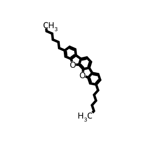 CCCCCCc1ccc2c(c1)oc1c2ccc2c3ccc(CCCCCC)cc3oc21